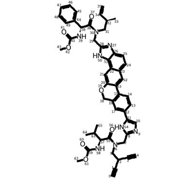 C#CC(C#C)CN(Cc1ncc(-c2ccc3c(c2)COc2cc4c(ccc5nc(CN(C[C@H](C)C=C)C(=O)[C@H](NC(=O)OC)c6ccccc6)[nH]c54)cc2-3)[nH]1)C(=O)[C@@H](NC(=O)OC)C(C)C